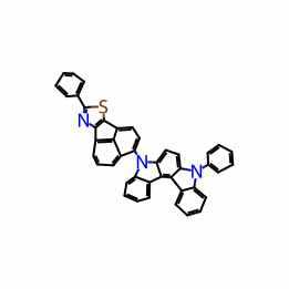 c1ccc(-c2nc3c(s2)-c2ccc(-n4c5ccccc5c5c6c7ccccc7n(-c7ccccc7)c6ccc54)c4cccc-3c24)cc1